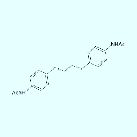 CC(=O)Nc1ccc(CCCCc2ccc(NC(C)=O)cc2)cc1